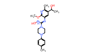 COc1nc(C)c(C(C)O)cc1N=C(NO)N1CCN(c2ccc(C)cc2)CC1